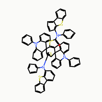 c1ccc(N2c3ccccc3C3(c4ccccc42)c2cc(N(c4ccccc4)c4cccc5c4sc4ccccc45)sc2C2(c4ccccc4N(c4ccccc4)c4ccccc42)c2cc(N(c4ccccc4)c4cccc5c4sc4ccccc45)sc23)cc1